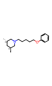 C[C@H]1C[C@H](C)CN(CCCCCOc2ccccc2)C1